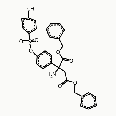 Cc1ccc(S(=O)(=O)Oc2ccc(C(N)(CC(=O)OCc3ccccc3)C(=O)OCc3ccccc3)cc2)cc1